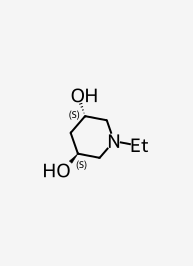 CCN1C[C@@H](O)C[C@H](O)C1